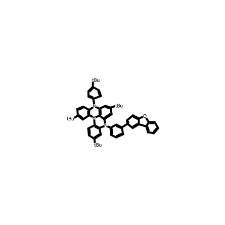 CC(C)(C)c1ccc(N2c3ccc(C(C)(C)C)cc3B3c4ccc(C(C)(C)C)cc4N(c4cccc(-c5ccc6oc7ccccc7c6c5)c4)c4cc(C(C)(C)C)cc2c43)cc1